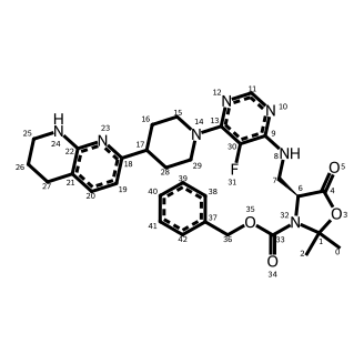 CC1(C)OC(=O)[C@H](CNc2ncnc(N3CCC(c4ccc5c(n4)NCCC5)CC3)c2F)N1C(=O)OCc1ccccc1